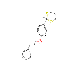 CC1(c2ccc(OCCCc3ccccc3)cc2)SCCCS1